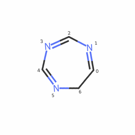 C1=NC=NC=NC1